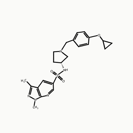 Cc1nn(C)c2ncc(S(=O)(=O)N[C@@H]3CCN(Cc4ccc(OC5CC5)cc4)C3)cc12